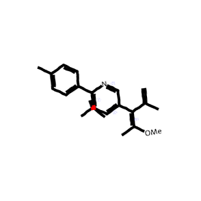 C=C(C)/C=C(\C=N/C(=C\C)c1ccc(C)cc1)C(/C(=C)C)=C(\C)OC